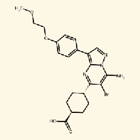 COCCOc1ccc(-c2cnn3c(N)c(Br)c([C@H]4CC[C@H](C(=O)O)CC4)nc23)cc1